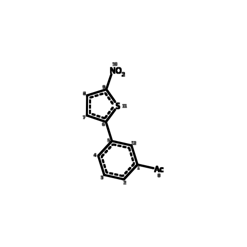 CC(=O)c1cccc(-c2ccc([N+](=O)[O-])s2)c1